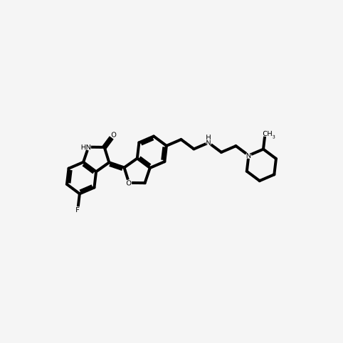 CC1CCCCN1CCNCCc1ccc2c(c1)CO/C2=C1/C(=O)Nc2ccc(F)cc21